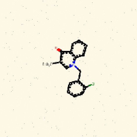 CCOC(=O)c1cn(Cc2ccccc2Cl)c2ccccc2c1=O